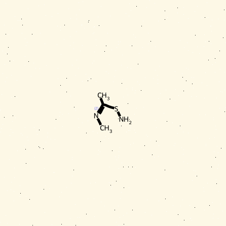 C/N=C(/C)SN